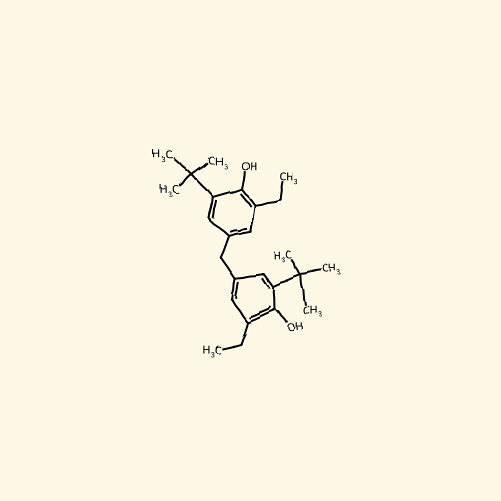 CCc1cc(Cc2cc(CC)c(O)c(C(C)(C)C)c2)cc(C(C)(C)C)c1O